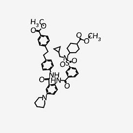 COC(=O)c1ccc(CCc2ccc(NC(=O)c3cc(N4CCCCC4)ccc3NC(=O)c3cccc(S(=O)(=O)N(CC4CC4)C4CCC(C(=O)OC)CC4)c3)cc2)cc1